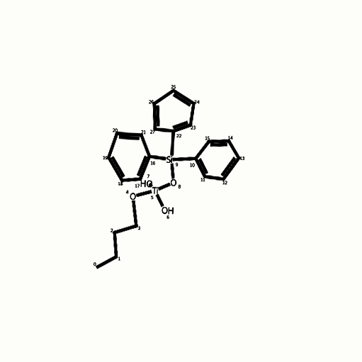 CCCC[O][Ti]([OH])([OH])[O][Si](c1ccccc1)(c1ccccc1)c1ccccc1